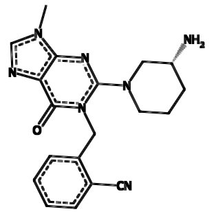 Cn1cnc2c(=O)n(Cc3ccccc3C#N)c(N3CCC[C@@H](N)C3)nc21